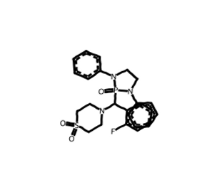 O=P1(C(c2ccccc2F)N2CCS(=O)(=O)CC2)N(c2ccccc2)CCN1c1ccccc1